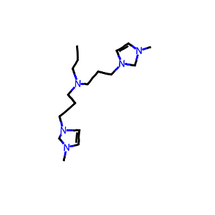 CCCN(CCCN1C=CN(C)C1)CCCN1C=CN(C)C1